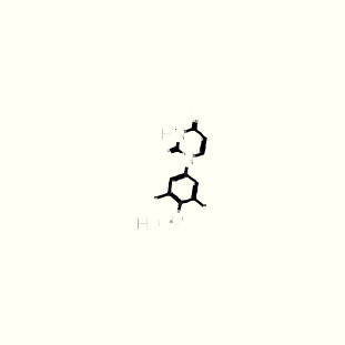 COc1c(I)cc(-n2ccc(=O)[nH]c2=O)cc1I